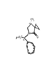 C[C@H](c1ccccc1)N1C[C@H](C)C2(CC2)C1=O